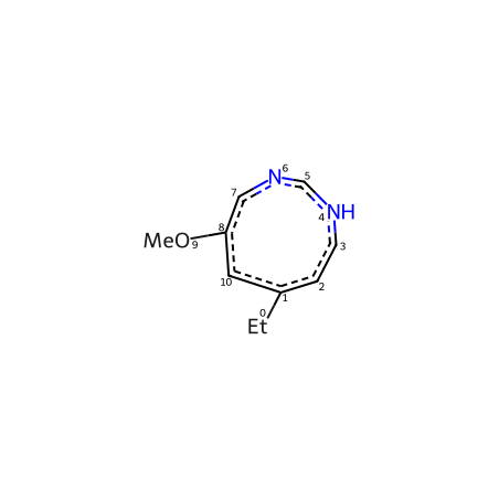 CCc1cc[nH]cncc(OC)c1